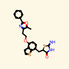 Cc1oc(-c2ccccc2)nc1CCOc1ccc(CC2SC(=N)NC2=O)c2sccc12